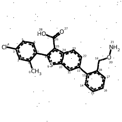 Cc1cc(Cl)ccc1-c1sc2cc(-c3ccccc3CON)ccc2c1C(=O)O